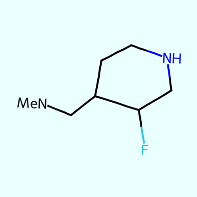 CNCC1CCNCC1F